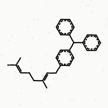 CC(C)=CCC/C(C)=C/Cc1ccc([C](c2ccccc2)c2ccccc2)cc1